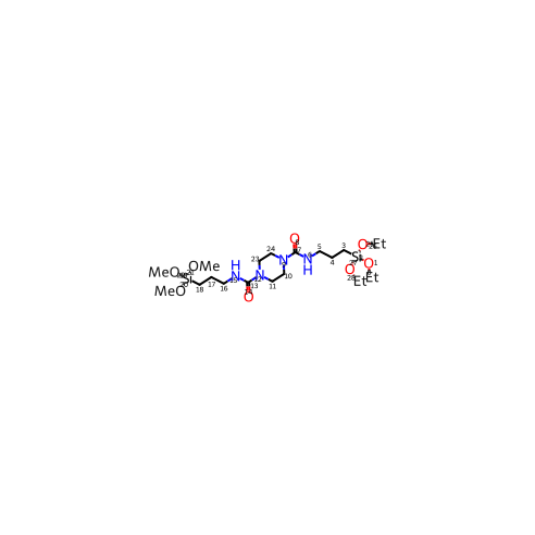 CCO[Si](CCCNC(=O)N1CCN(C(=O)NCCC[Si](OC)(OC)OC)CC1)(OCC)OCC